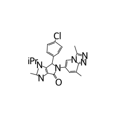 Cc1cc(N2C(=O)c3nc(C)n(C(C)C)c3C2c2ccc(Cl)cc2)cn2c(C)nnc12